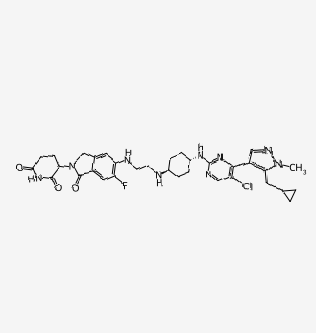 Cn1ncc(-c2nc(N[C@H]3CC[C@H](NCCNc4cc5c(cc4F)C(=O)N(C4CCC(=O)NC4=O)C5)CC3)ncc2Cl)c1CC1CC1